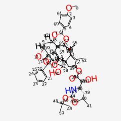 COc1ccc(C2O[C@H]3C[C@H]4OC[C@@]4(C)[C@H]4[C@H](OC(=O)c5ccccc5)[C@]5(C(C)(C)O)C[C@H](OC(=O)[C@H](O)[C@H](CC(C)C)NC(=O)OC(C)(C)C)C(C)=C5[C@H](C)[C@H](O2)[C@]34C)cc1